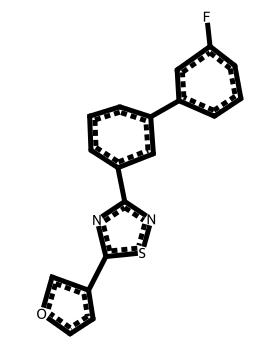 Fc1cccc(-c2cccc(-c3nsc(-c4ccoc4)n3)c2)c1